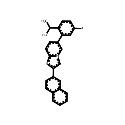 CC(O)c1ccc(F)cc1-c1ccc2nc(-c3ccc4ccccc4c3)cn2c1